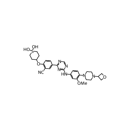 COc1cc(Nc2ncnc(-c3ccc(OC4CCS(O)(O)CC4)c(C#N)c3)n2)ccc1N1CCN(C2COC2)CC1